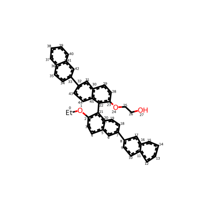 CCOc1ccc2cc(-c3ccc4ccccc4c3)ccc2c1-c1c(OCCO)ccc2cc(-c3ccc4ccccc4c3)ccc12